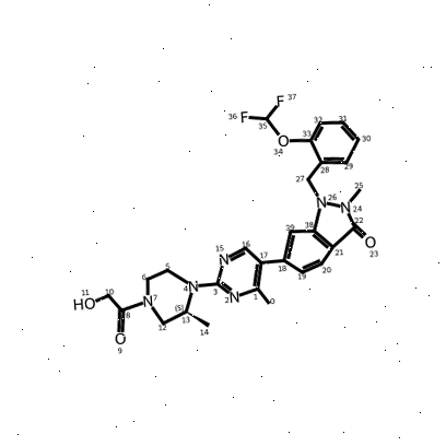 Cc1nc(N2CCN(C(=O)CO)C[C@@H]2C)ncc1-c1ccc2c(=O)n(C)n(Cc3ccccc3OC(F)F)c2c1